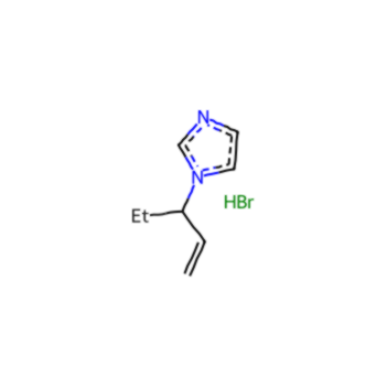 Br.C=CC(CC)n1ccnc1